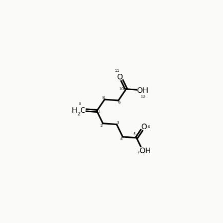 C=C(CCCC(=O)O)CCC(=O)O